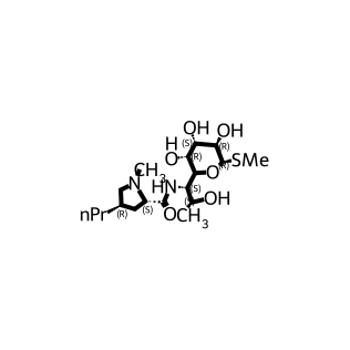 CCC[C@@H]1C[C@@H](C(=O)N[C@H](C2O[C@H](SC)[C@H](O)[C@@H](O)[C@H]2O)[C@H](C)O)N(C)C1